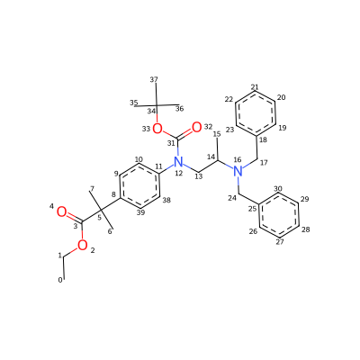 CCOC(=O)C(C)(C)c1ccc(N(CC(C)N(Cc2ccccc2)Cc2ccccc2)C(=O)OC(C)(C)C)cc1